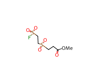 COC(=O)CCS(=O)(=O)CCS(=O)(=O)F